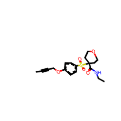 CC#CCOc1ccc(S(=O)(=O)C2(C(=O)NCC)CCOCC2)cc1